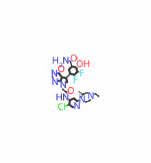 CCN1CCN(c2cc(NC(=O)Cn3cc(-c4cc(C(N)=O)c(O)c(F)c4F)c4c(=O)n(C)cnc43)c(Cl)cn2)[C@@H](C)C1